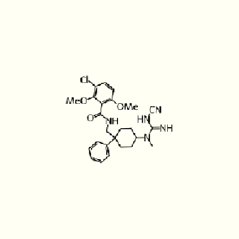 COc1ccc(Cl)c(OC)c1C(=O)NCC1(c2ccccc2)CCC(N(C)C(=N)NC#N)CC1